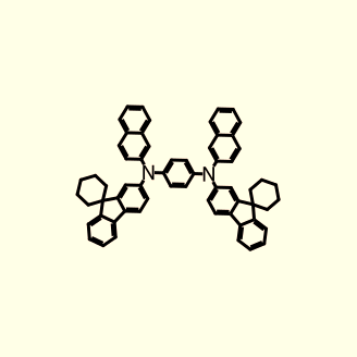 c1ccc2c(c1)-c1ccc(N(c3ccc(N(c4ccc5c(c4)C4(CCCCC4)c4ccccc4-5)c4ccc5ccccc5c4)cc3)c3ccc4ccccc4c3)cc1C21CCCCC1